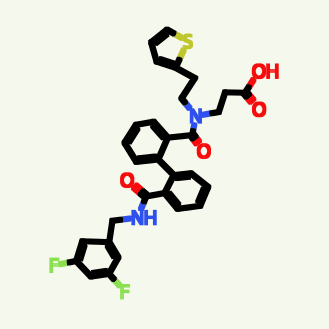 O=C(O)CCN(CCc1cccs1)C(=O)c1ccccc1-c1ccccc1C(=O)NCc1cc(F)cc(F)c1